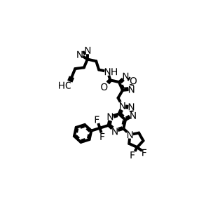 C#CCCC1(CCNC(=O)c2nonc2Cn2nnc3c(N4CCC(F)(F)C4)nc(C(F)(F)c4ccccc4)nc32)N=N1